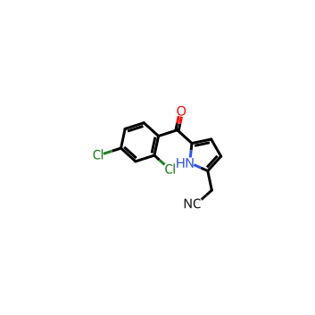 N#CCc1ccc(C(=O)c2ccc(Cl)cc2Cl)[nH]1